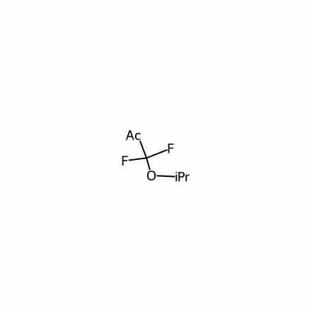 CC(=O)C(F)(F)OC(C)C